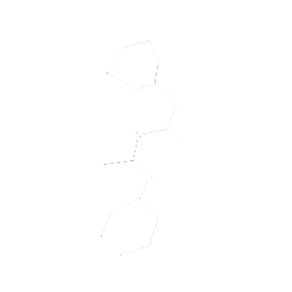 CC([N]C(C)SC1CCCCC1)SC1CCCCC1